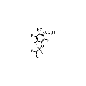 O=C(O)c1c(F)c(OC(F)(Cl)C(F)Cl)c(F)c(F)c1[N+](=O)[O-]